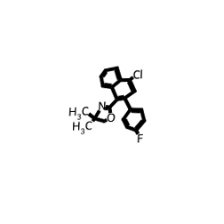 CC1(C)COC(c2c(-c3ccc(F)cc3)cc(Cl)c3ccccc23)=N1